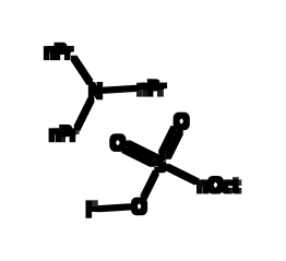 CCCCCCCCS(=O)(=O)OF.CCCN(CCC)CCC